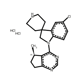 C[C@@H]1CCc2ncnc(N3CC4(CCNCC4)c4cc(Cl)ccc43)c21.Cl.Cl